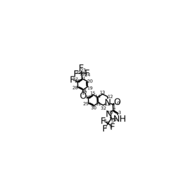 O=C(c1c[nH]c(C(F)(F)F)n1)N1CCc2cc(Oc3ccc(C(F)(F)F)c(F)c3)ccc2C1